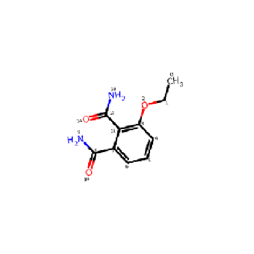 CCOc1cccc(C(N)=O)c1C(N)=O